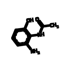 CC(=O)Nc1c(N)cccc1O